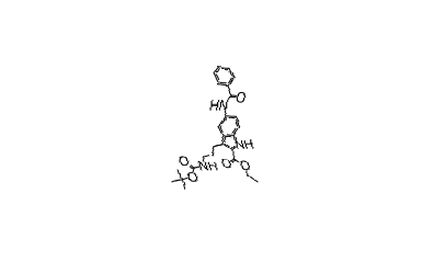 CCOC(=O)c1[nH]c2ccc(NC(=O)c3ccccc3)cc2c1CCCNC(=O)OC(C)(C)C